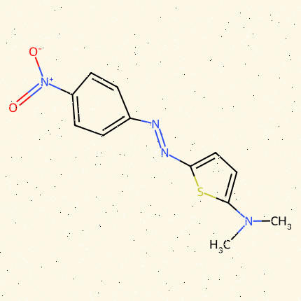 CN(C)c1ccc(N=Nc2ccc([N+](=O)[O-])cc2)s1